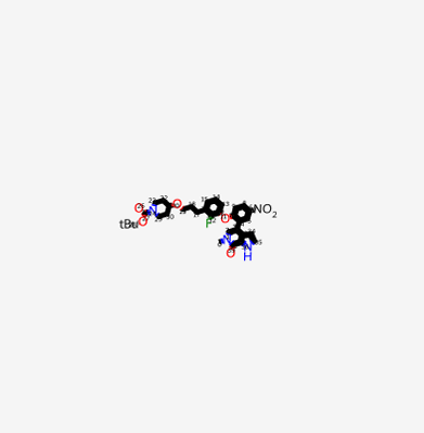 Cn1cc(-c2cc([N+](=O)[O-])ccc2Oc2cccc(CCCOC3CCN(C(=O)OC(C)(C)C)CC3)c2F)c2cc[nH]c2c1=O